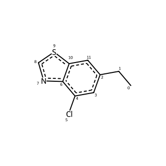 CCc1cc(Cl)c2ncsc2c1